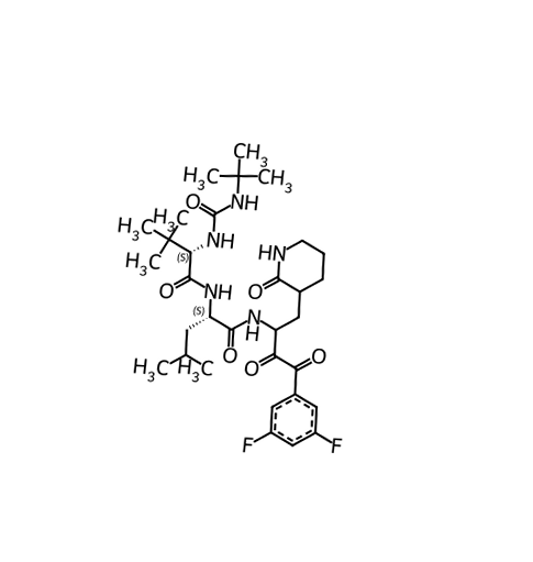 CC(C)C[C@H](NC(=O)[C@@H](NC(=O)NC(C)(C)C)C(C)(C)C)C(=O)NC(CC1CCCNC1=O)C(=O)C(=O)c1cc(F)cc(F)c1